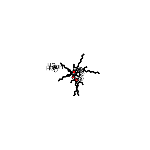 CCCCCCCC(CC)S(=O)(=O)C1CC(O)(S(=O)(=O)C(CC)CCCCCCC)C(S(=O)(=O)C(CC)CCCCCCC)(S(=O)(=O)C(CC)CCCCCCC)C1(S(=O)(=O)C(CC)CCCCCCC)S(=O)(=O)C(CC)CCCCCCC.O=P(O)(O)O